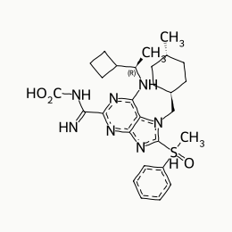 C[C@@H](Nc1nc(C(=N)NC(=O)O)nc2nc([SH](C)(=O)c3ccccc3)n(C[C@H]3CC[C@H](C)CC3)c12)C1CCC1